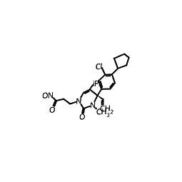 C=C[C@]1(c2ccc(C3CCCC3)c(Cl)c2)C(C(C)C)=CN(CCC(=O)N=O)C(=O)N1C